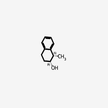 C[C@H]1c2ccccc2CC[C@H]1O